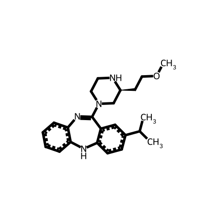 COCC[C@H]1CN(C2=Nc3ccccc3Nc3ccc(C(C)C)cc32)CCN1